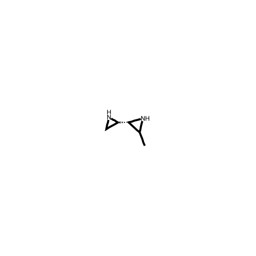 CC1N[C@H]1C1CN1